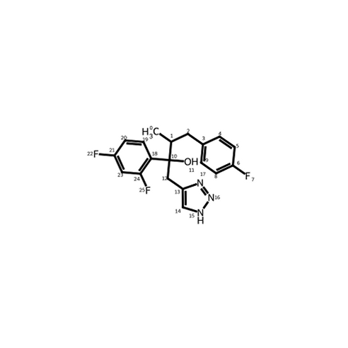 CC(Cc1ccc(F)cc1)C(O)(Cc1c[nH]nn1)c1ccc(F)cc1F